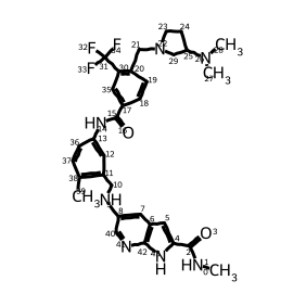 CNC(=O)c1cc2cc(NCc3cc(NC(=O)c4ccc(CN5CCC(N(C)C)C5)c(C(F)(F)F)c4)ccc3C)cnc2[nH]1